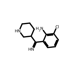 N=C(c1cccc(Cl)c1N)C1CCCNC1